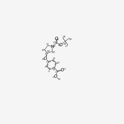 COC(=O)c1ccc(O[C@H]2CCN(C(=O)OC(C)(C)C)C2)cc1